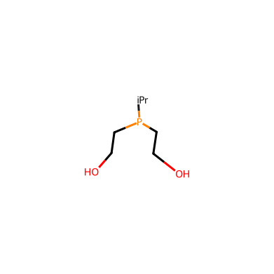 CC(C)P(CCO)CCO